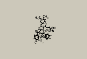 CC(=O)N(C)CC(=O)OC(OC(=O)N(C(=O)c1ccc(Cl)cc1)N(C(=O)c1ccccc1)C(C)(C)C)C(=O)OCP(=O)(O)O